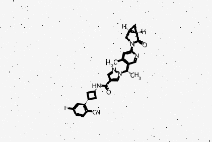 Cc1cc(N2C[C@H]3C[C@H]3C2=O)ncc1[C@H](C)n1cc(C(=O)N[C@H]2C[C@@H](c3cc(F)ccc3C#N)C2)cn1